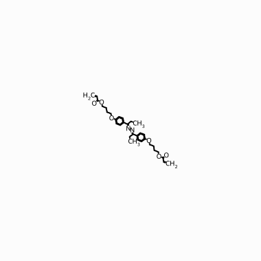 C=CC(=O)OCCCCOc1ccc(/C(CC)=N/N=C(\CC)c2ccc(OCCCCOC(=O)C=C)cc2)cc1